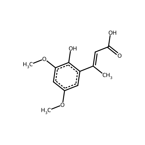 COc1cc(OC)c(O)c(C(C)=CC(=O)O)c1